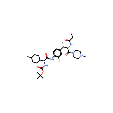 CCC(=O)N[C@@H](C(=O)N1CCN(C)CC1)[C@@H](C)c1ccc(NC(=O)[C@@H](NC(=O)OC(C)(C)C)C2CCC(C)CC2)c(F)c1